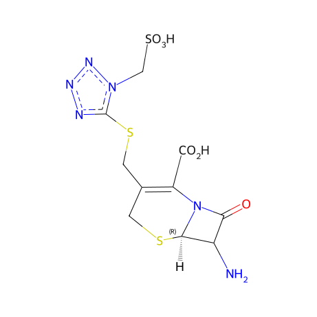 NC1C(=O)N2C(C(=O)O)=C(CSc3nnnn3CS(=O)(=O)O)CS[C@H]12